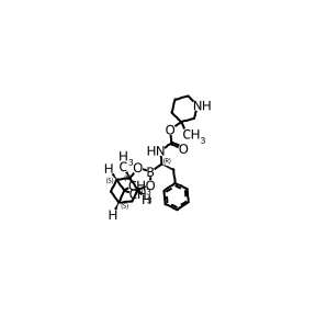 CC1(OC(=O)N[C@@H](Cc2ccccc2)B2O[C@@H]3C[C@@H]4C[C@@H](C4(C)C)[C@]3(C)O2)CCCNC1